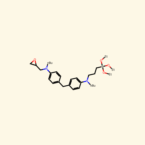 CCCCN(CCC[Si](OCC)(OCC)OCC)c1ccc(Cc2ccc(N(CCCC)CC3CO3)cc2)cc1